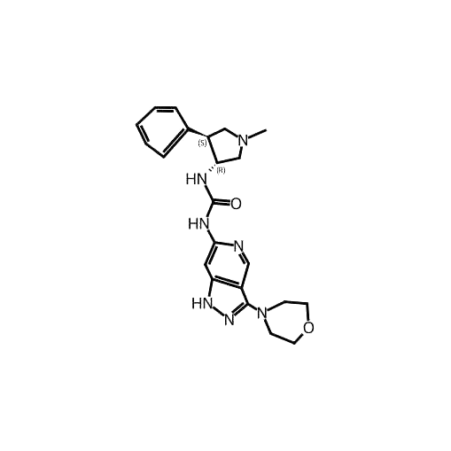 CN1C[C@H](NC(=O)Nc2cc3[nH]nc(N4CCOCC4)c3cn2)[C@@H](c2ccccc2)C1